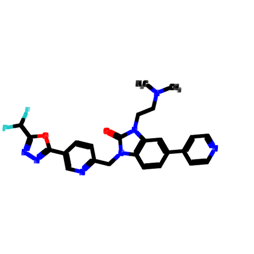 CN(C)CCn1c(=O)n(Cc2ccc(-c3nnc(C(F)F)o3)cn2)c2ccc(-c3ccncc3)cc21